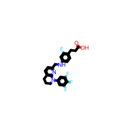 O=C(O)CCc1ccc(NCc2ccc3c(n2)N(c2cc(F)c(F)c(F)c2)CCC3)cc1F